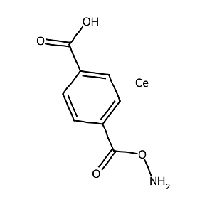 NOC(=O)c1ccc(C(=O)O)cc1.[Ce]